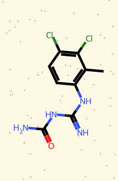 Cc1c(NC(=N)NC(N)=O)ccc(Cl)c1Cl